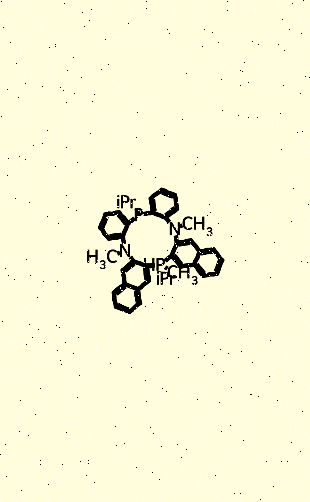 CC(C)P1c2ccccc2N(C)c2cc3ccccc3cc2[PH](C)(C(C)C)c2cc3ccccc3cc2N(C)c2ccccc21